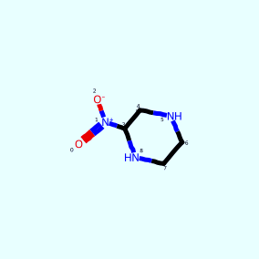 O=[N+]([O-])C1[CH]NCCN1